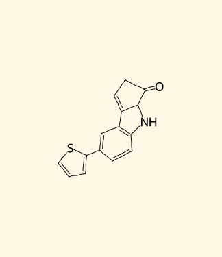 O=C1CC=C2c3cc(-c4cccs4)ccc3NC12